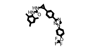 Cc1cc(C)c(NC(=O)NC2CC2c2ccc(-c3ncn(-c4ccc(OC(F)(F)F)cc4)n3)cc2)c(C)c1